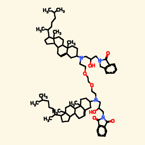 CC(C)CCCC(C)C1CCC2C3CC=C4CC(N(CCOCCOCCN(CC(O)CN5C(=O)c6ccccc6C5=O)C5CCC6(C)C(=CCC7C6CCC6(C)C(C(C)CCCC(C)C)CCC76)C5)CC(O)CN5Cc6ccccc6C5=O)CCC4(C)C3CCC12C